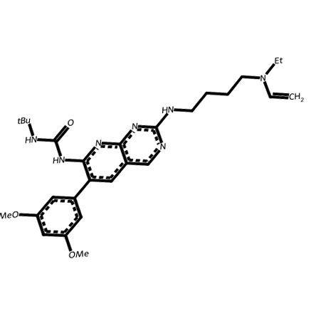 C=CN(CC)CCCCNc1ncc2cc(-c3cc(OC)cc(OC)c3)c(NC(=O)NC(C)(C)C)nc2n1